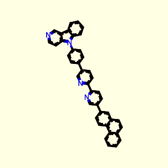 c1ccc2c(c1)ccc1cc(-c3ccc(-c4ccc(-c5ccc(-n6c7ccccc7c7cnccc76)cc5)cn4)nc3)ccc12